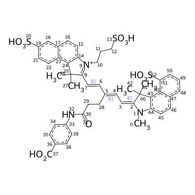 CN1/C(=C/C=C(/C=C/C2=[N+](CCCS(=O)(=O)O)c3ccc4cc(S(=O)(=O)O)ccc4c3C2(C)C)CCC(=O)Nc2ccc(C(=O)O)cc2)C(C)(C)c2c1ccc1cccc(S(=O)(=O)O)c21